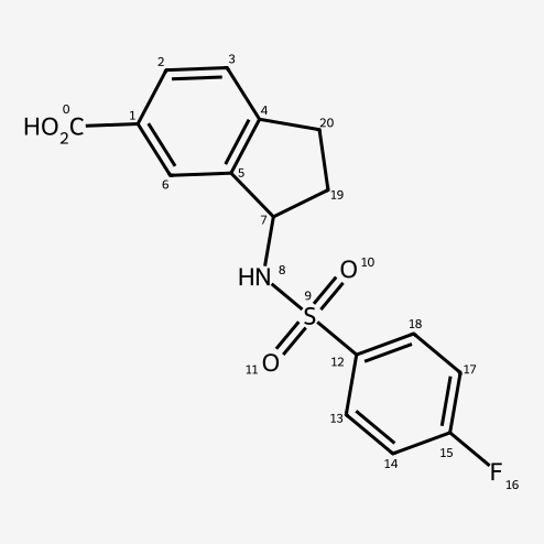 O=C(O)c1ccc2c(c1)C(NS(=O)(=O)c1ccc(F)cc1)CC2